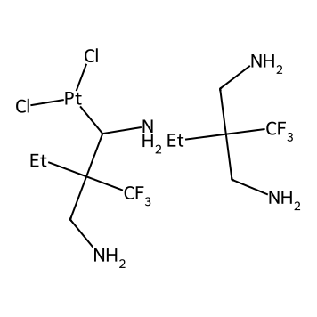 CCC(CN)(CN)C(F)(F)F.CCC(CN)([CH](N)[Pt]([Cl])[Cl])C(F)(F)F